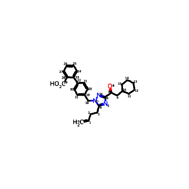 C=CCCc1nc(C(=O)CC2CCCCC2)nn1Cc1ccc(-c2ccccc2C(=O)O)cc1